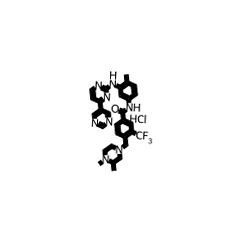 Cc1ccc(NC(=O)c2ccc(CN3CCN(C)C(C)C3)c(C(F)(F)F)c2)cc1Nc1nccc(-c2cncnc2)n1.Cl